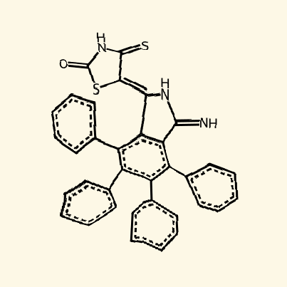 N=C1NC(=C2SC(=O)NC2=S)c2c1c(-c1ccccc1)c(-c1ccccc1)c(-c1ccccc1)c2-c1ccccc1